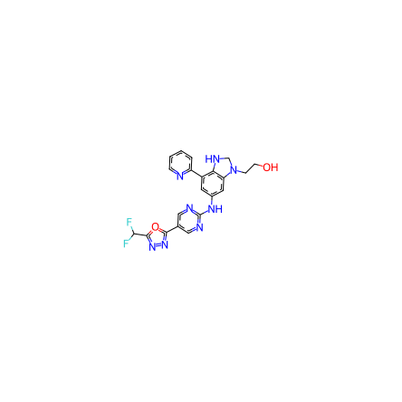 OCCN1CNc2c(-c3ccccn3)cc(Nc3ncc(-c4nnc(C(F)F)o4)cn3)cc21